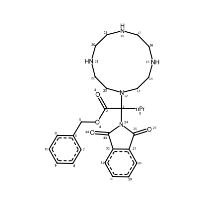 CCCC(C(=O)OCc1ccccc1)(N1CCNCCNCCNCC1)N1C(=O)c2ccccc2C1=O